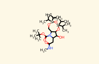 CNC(=O)CC1C(O)C2O[Si](C(C)C)(C(C)C)O[Si](C(C)C)(C(C)C)OCC2N1C(=O)OC(C)(C)C